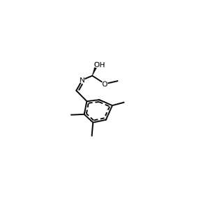 CO[C@H](O)/N=C\c1cc(C)cc(C)c1C